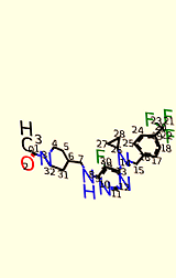 CC(=O)N1CCC(CNc2ncnc(N(Cc3ccc(C(F)(F)F)cc3)C3CC3)c2F)CC1